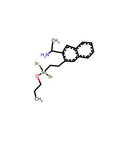 CCC[O][Sn]([Br])([Br])[CH2]Cc1cc2ccccc2cc1C(C)N